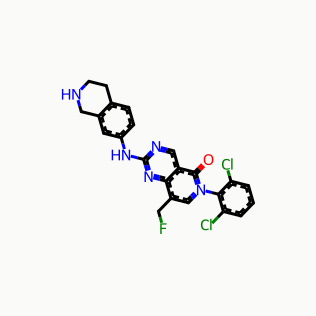 O=c1c2cnc(Nc3ccc4c(c3)CNCC4)nc2c(CF)cn1-c1c(Cl)cccc1Cl